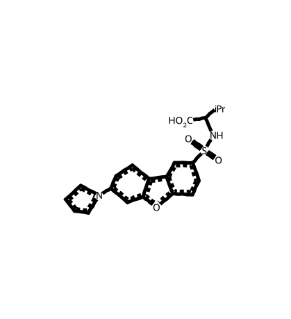 CC(C)C(NS(=O)(=O)c1ccc2oc3cc(-n4cccc4)ccc3c2c1)C(=O)O